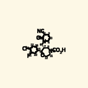 N#Cc1cccn(C[C@@H]2CN(C(=O)O)CCO[C@H]2c2ccc(Cl)c(F)c2)c1=O